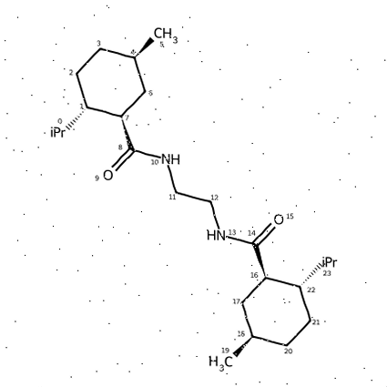 CC(C)[C@@H]1CC[C@@H](C)C[C@H]1C(=O)NCCNC(=O)[C@@H]1C[C@H](C)CC[C@H]1C(C)C